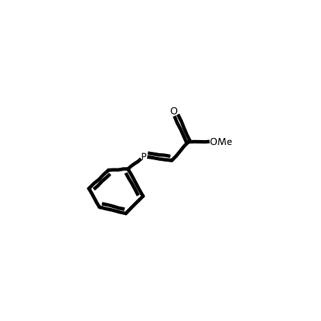 COC(=O)/C=P/c1ccccc1